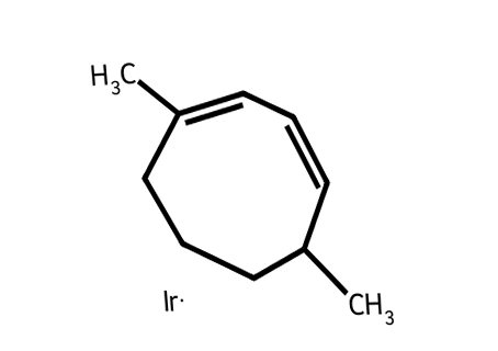 C/C1=C/C=C\C(C)CCC1.[Ir]